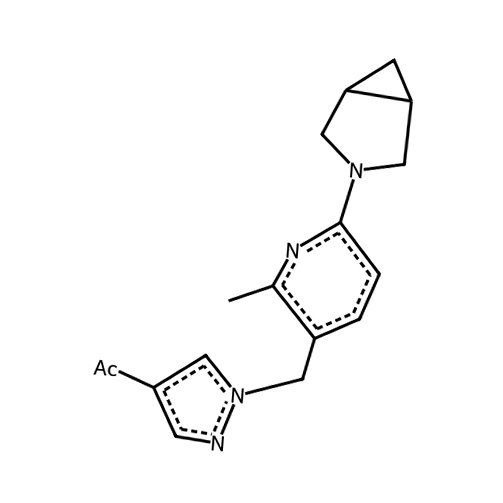 CC(=O)c1cnn(Cc2ccc(N3CC4CC4C3)nc2C)c1